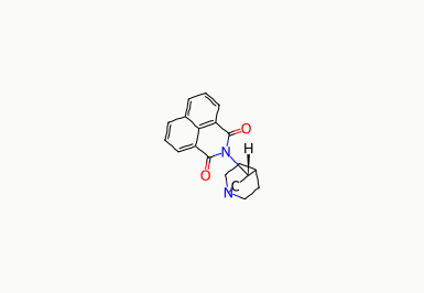 O=C1c2cccc3cccc(c23)C(=O)N1[C@H]1CN2CCC1CC2